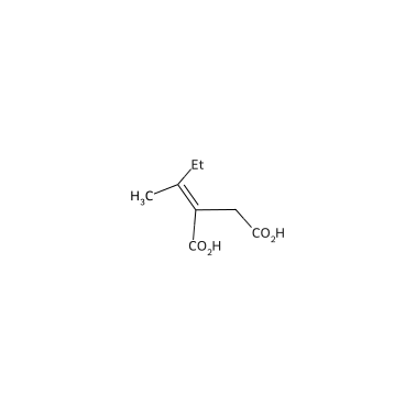 CCC(C)=C(CC(=O)O)C(=O)O